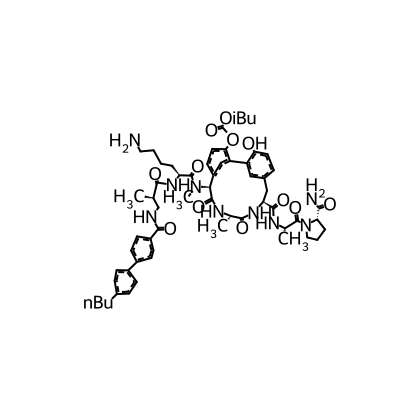 CCCCc1ccc(-c2ccc(C(=O)NC[C@@H](C)C(=O)N[C@@H](CCCCN)C(=O)N(C)[C@@H]3C(=O)N[C@@H](C)C(=O)N[C@H](C(=O)N[C@@H](C)C(=O)N4CCC[C@H]4C(N)=O)Cc4ccc(O)c(c4)-c4cc3ccc4OC(=O)OCC(C)C)cc2)cc1